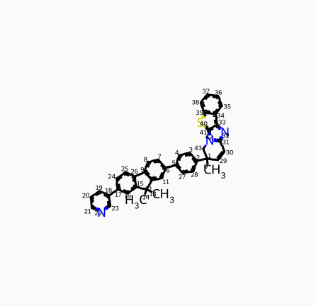 CC1(c2ccc(-c3ccc4c(c3)C(C)(C)c3cc(-c5cccnc5)ccc3-4)cc2)C=Cc2nc3c4ccccc4sc3n2C1